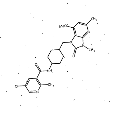 COc1cc(C)nc2c1n(CC1CCC(NC(=O)c3cc(Cl)cnc3C)CC1)c(=O)n2C